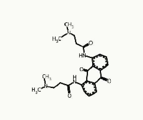 CN(C)CCC(=O)Nc1cccc2c1C(=O)c1c(NC(=O)CCN(C)C)cccc1C2=O